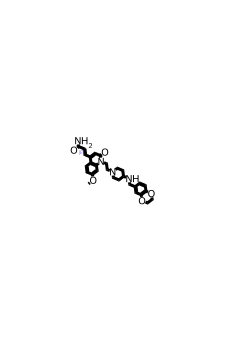 COc1ccc2c(/C=C/C(N)=O)cc(=O)n(CCN3CCC(NCc4ccc5c(c4)OCCO5)CC3)c2c1